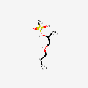 CCCOCC(C)OS(C)(=O)=O